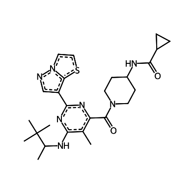 Cc1c(NC(C)C(C)(C)C)nc(-c2cnn3ccsc23)nc1C(=O)N1CCC(NC(=O)C2CC2)CC1